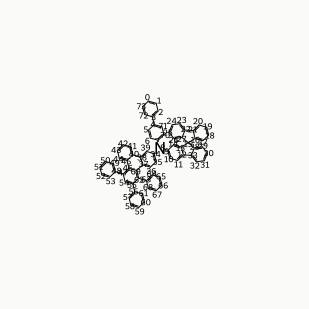 c1ccc(-c2ccc(N(c3ccc4c(c3)C3(c5ccccc5-c5ccccc53)c3ccccc3-4)c3ccc4c(c3)c3ccccc3c3c(-c5ccccc5)cc(-c5ccccc5)c(-c5ccccc5)c43)cc2)cc1